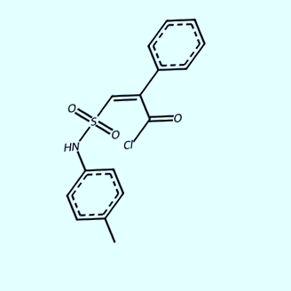 Cc1ccc(NS(=O)(=O)C=C(C(=O)Cl)c2ccccc2)cc1